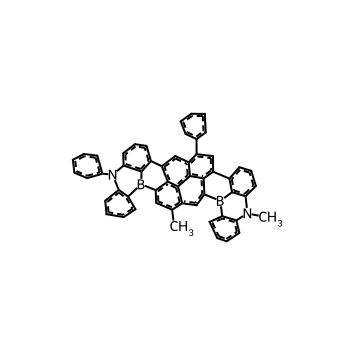 Cc1cc2c3c(cc4c(-c5ccccc5)cc5c6c(cc1c3c46)B1c3ccccc3N(C)c3cccc-5c31)-c1cccc3c1B2c1ccccc1N3c1ccccc1